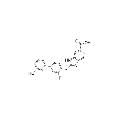 O=C(O)c1ccc2nc(Cc3ccc(-c4cccc(O)n4)cc3F)[nH]c2c1